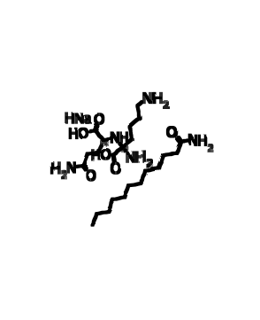 CCCCCCCCCCCC(N)=O.NCCCC[C@@](N)(N[C@@H](CCC(N)=O)C(=O)O)C(=O)O.[NaH]